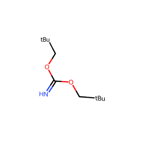 CC(C)(C)COC(=N)OCC(C)(C)C